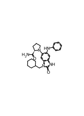 NC(=O)[C@H]1CCCN1c1cc2c(cc1Nc1ccccc1)[nH]c(=O)n2CC1CCCCC1